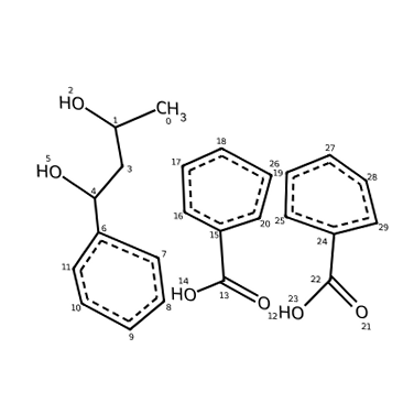 CC(O)CC(O)c1ccccc1.O=C(O)c1ccccc1.O=C(O)c1ccccc1